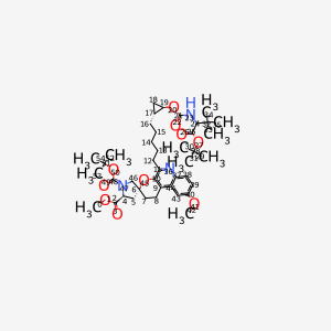 COC(=O)[C@@H]1C[C@]2(CCc3c(c(CCCCC[C@@H]4C[C@H]4OC(=O)N[C@H](C(=O)OC(C)(C)C)C(C)(C)C)nc4ccc(OC)cc34)O2)CN1C(=O)OC(C)(C)C